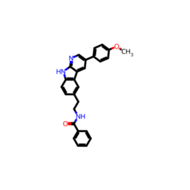 COc1ccc(-c2cnc3[nH]c4ccc(CCNC(=O)c5ccccc5)cc4c3c2)cc1